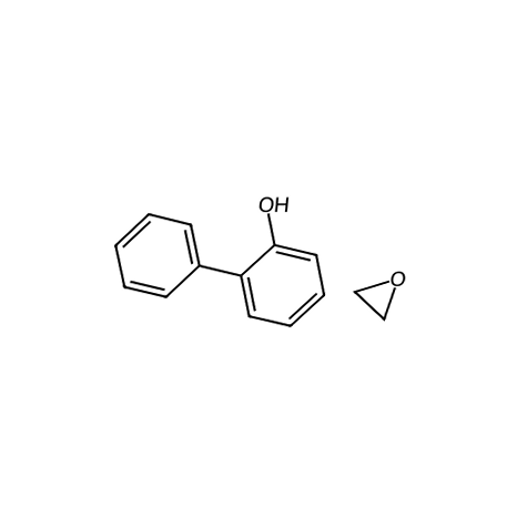 C1CO1.Oc1ccccc1-c1ccccc1